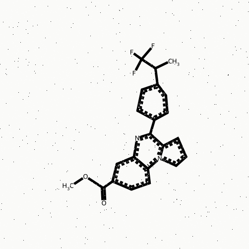 COC(=O)c1ccc2c(c1)nc(-c1ccc(C(C)C(F)(F)F)cc1)c1cccn12